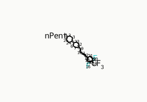 CCCCC[C@H]1CC[C@H](C2CCC(/C=C/C#Cc3cc(F)c(C(F)(F)F)c(F)c3)CC2)CC1